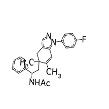 CC(=O)NC(CC1(C)Cc2cnn(-c3ccc(F)cc3)c2C=C1C)c1ccccc1